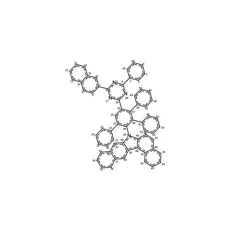 c1ccc(-c2nc(-c3ccc4ccccc4c3)nc(-c3cc(-c4ccccc4)c(-n4c5cc6ccccc6cc5c5c6ccccc6ccc54)c(-c4ccccc4)c3-c3ccccc3)n2)cc1